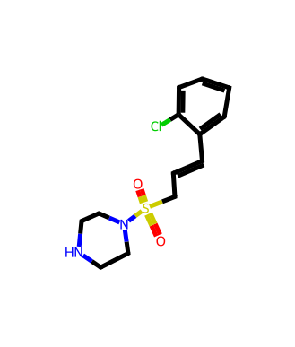 O=S(=O)(CC=Cc1ccccc1Cl)N1CCNCC1